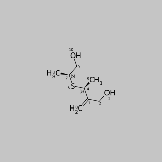 C=C(CO)[C@H](C)S[C@@H](C)CO